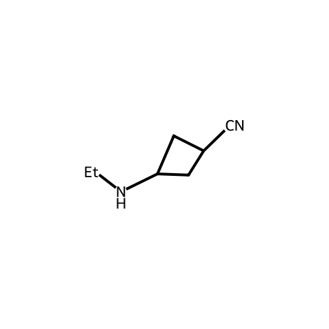 CCNC1CC(C#N)C1